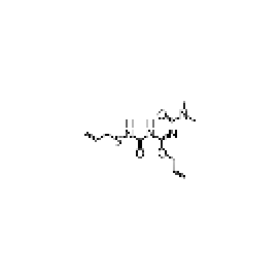 C=CCOC(=NC(=O)N(C)C)NC(=O)NSCC=C